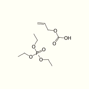 C=CCOC(=O)O.CCOP(=O)(OCC)OCC